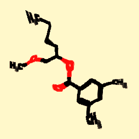 CCCCC(COC)OC(=O)c1cc(C)cc(C)c1